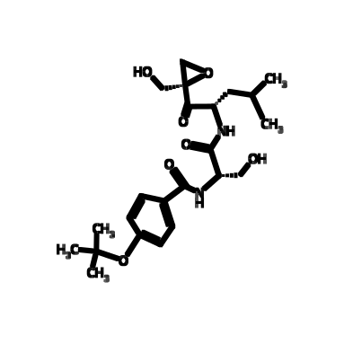 CC(C)C[C@H](NC(=O)[C@H](CO)NC(=O)c1ccc(OC(C)(C)C)cc1)C(=O)[C@@]1(CO)CO1